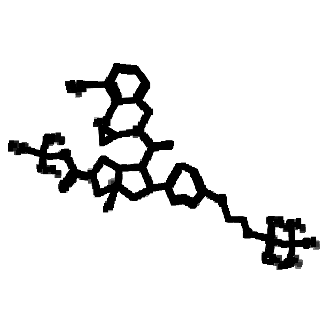 Cc1cccc(CN(C(=O)C2C(c3ccc(OCCO[Si](C)(C)C(C)(C)C)cc3)C[C@@H]3CN(C(=O)OC(C)(C)C)CC23)C2CC2)c1C